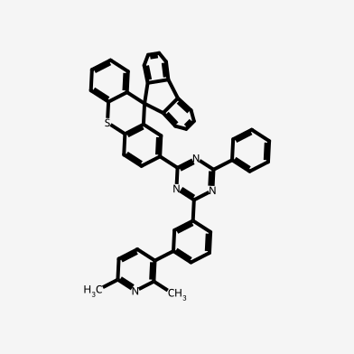 Cc1ccc(-c2cccc(-c3nc(-c4ccccc4)nc(-c4ccc5c(c4)C4(c6ccccc6S5)c5ccccc5-c5ccccc54)n3)c2)c(C)n1